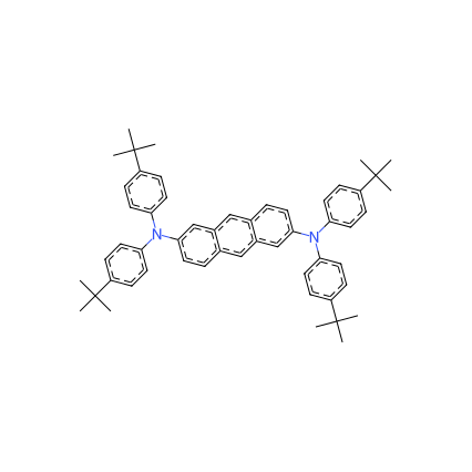 CC(C)(C)c1ccc(N(c2ccc(C(C)(C)C)cc2)c2ccc3cc4cc(N(c5ccc(C(C)(C)C)cc5)c5ccc(C(C)(C)C)cc5)ccc4cc3c2)cc1